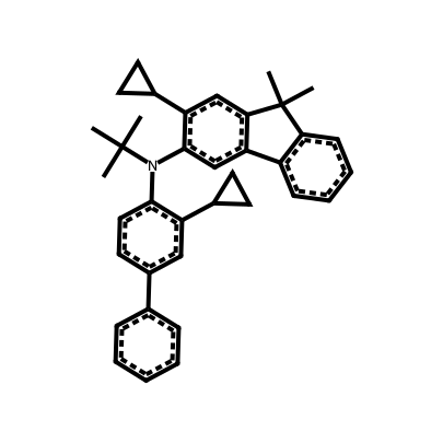 CC1(C)c2ccccc2-c2cc(N(c3ccc(-c4ccccc4)cc3C3CC3)C(C)(C)C)c(C3CC3)cc21